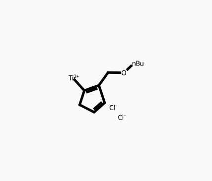 CCCCOCC1=[C]([Ti+2])CC=C1.[Cl-].[Cl-]